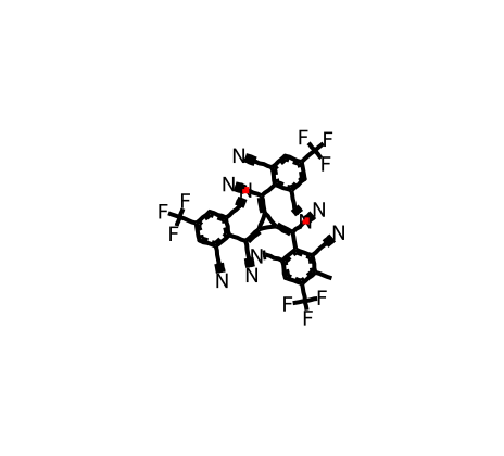 Cc1c(C(F)(F)F)cc(C#N)c(/C(C#N)=C2\C(=C(C#N)c3c(C#N)cc(C(F)(F)F)cc3C#N)\C2=C(/C#N)c2c(C#N)cc(C(F)(F)F)cc2C#N)c1C#N